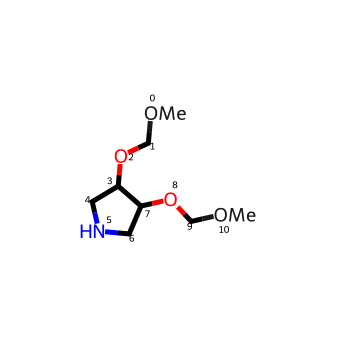 COCOC1CNCC1OCOC